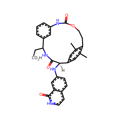 Cc1cc2cc(C)c1CCOC(=O)Nc1cccc(c1)C(CC(=O)O)NC(=O)[C@@H]2Nc1ccc2cc[nH]c(=O)c2c1